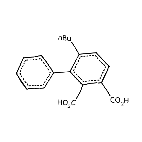 CCCCc1ccc(C(=O)O)c(C(=O)O)c1-c1ccccc1